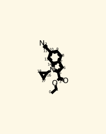 CCOC(=O)c1cc2ccc(C#N)cc2n1C1CC1